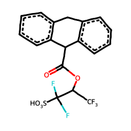 O=C(OC(C(F)(F)F)C(F)(F)S(=O)(=O)O)C1c2ccccc2Cc2ccccc21